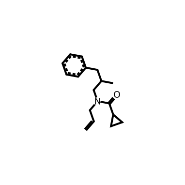 C=CCN(CC(C)Cc1ccccc1)C(=O)C1CC1